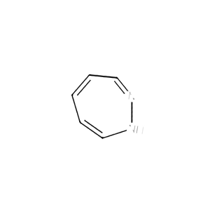 [C]1=CNN=CC=C1